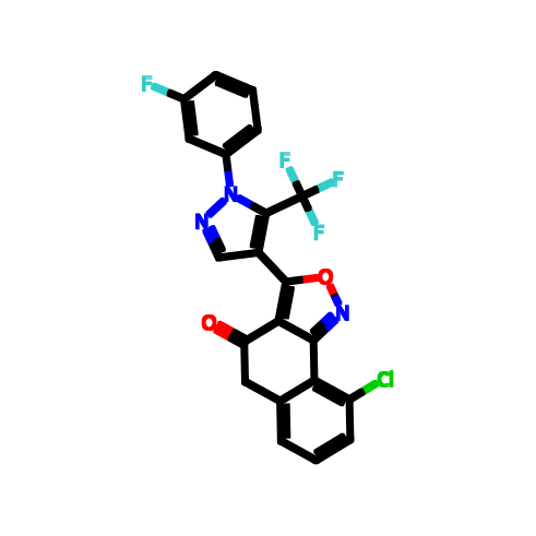 O=C1Cc2cccc(Cl)c2-c2noc(-c3cnn(-c4cccc(F)c4)c3C(F)(F)F)c21